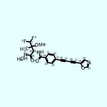 COC(C)(C(F)F)[C@H](NC(=O)c1ccc(C#CC#Cc2cnco2)cc1)C(=O)NO